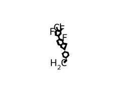 C=C[C@H]1CC[C@H](c2ccc3c(F)c(-c4cc(F)c(Cl)c(F)c4)ccc3c2)CC1